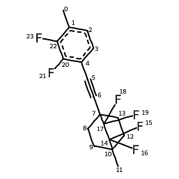 Cc1ccc(C#CC23CCC(C)(CC2)C(F)(F)C3(F)F)c(F)c1F